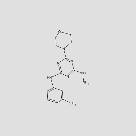 Cc1cccc(Nc2nc(NN)nc(N3CCOCC3)n2)c1